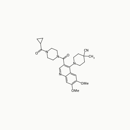 COc1cc2ncc(C(=O)N3CCN(C(=O)C4CC4)CC3)c(N3CCC(C)(C#N)CC3)c2cc1OC